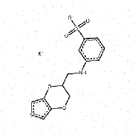 O=S(=O)([O-])c1cccc(NCC2COc3cscc3O2)c1.[K+]